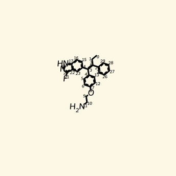 CC/C(=C(/c1ccc(OCCN)cc1)c1ccc2[nH]nc(F)c2c1)c1ccccc1